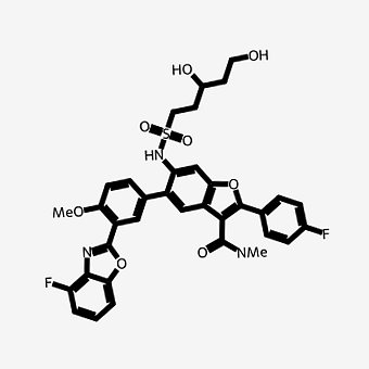 CNC(=O)c1c(-c2ccc(F)cc2)oc2cc(NS(=O)(=O)CCC(O)CCO)c(-c3ccc(OC)c(-c4nc5c(F)cccc5o4)c3)cc12